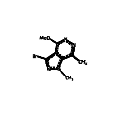 COc1nnc(C)c2c1c(Br)nn2C